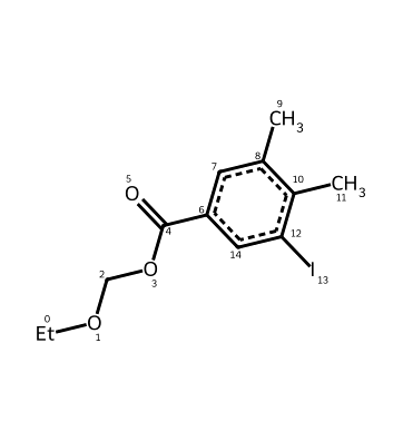 CCOCOC(=O)c1cc(C)c(C)c(I)c1